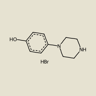 Br.Oc1ccc(N2CCNCC2)cc1